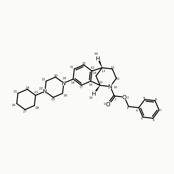 O=C(OCc1ccccc1)N1CC[C@@H]2C[C@H]1c1cc(N3CCN(C4CCCCC4)CC3)ccc12